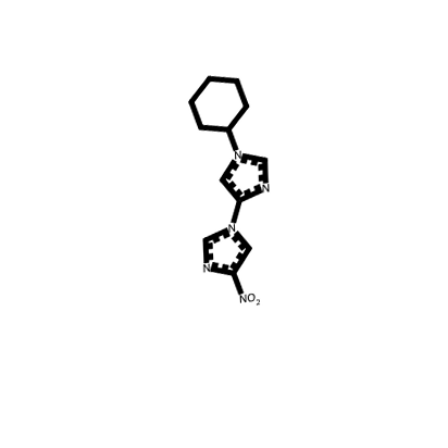 O=[N+]([O-])c1cn(-c2cn(C3CCCCC3)cn2)cn1